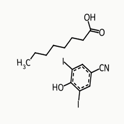 CCCCCCCC(=O)O.N#Cc1cc(I)c(O)c(I)c1